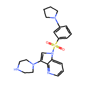 O=S(=O)(c1cccc(N2CCCC2)c1)n1cc(N2CCNCC2)c2ncccc21